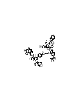 CCN(c1cc(-c2ccc(OCCCOc3cc(-c4scnc4C)ccc3CNC(=O)[C@@H]3C[C@@H](O)CN3C(=O)[C@H](C(C)C)N3Cc4ccccc4C3=O)cc2)cc(C(=O)NCc2c(C)cc(C)[nH]c2=O)c1C)C1CCOCC1